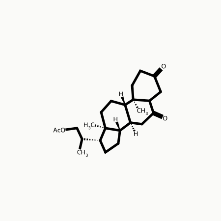 CC(=O)OCC(C)[C@H]1CC[C@H]2[C@@H]3CC(=O)C4CC(=O)CC[C@]4(C)[C@H]3CC[C@]12C